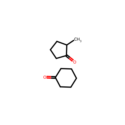 CC1CCCC1=O.O=C1CCCCC1